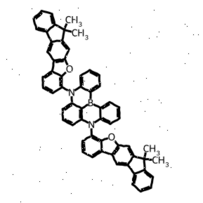 CC1(C)c2ccccc2-c2cc3c(cc21)oc1c(N2c4ccccc4B4c5ccccc5N(c5cccc6c5oc5cc7c(cc56)-c5ccccc5C7(C)C)c5cccc2c54)cccc13